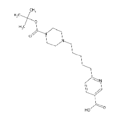 CC(C)(C)OC(=O)N1CCN(CCCCCc2ccc(C(=O)O)cn2)CC1